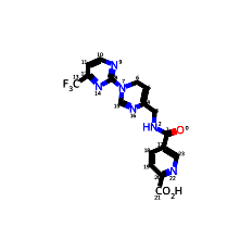 O=C(NCC1=CCN(c2nccc(C(F)(F)F)n2)C=N1)c1ccc(C(=O)O)nc1